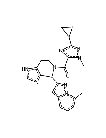 Cc1cccc2cc(C3c4nc[nH]c4CCN3C(=O)c3nc(C4CC4)nn3C)nn12